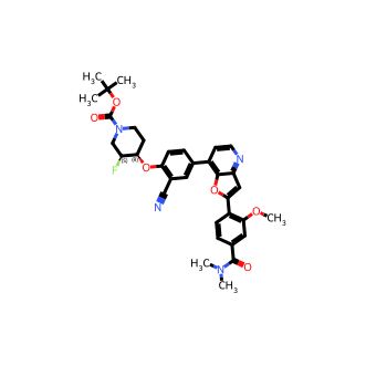 COc1cc(C(=O)N(C)C)ccc1-c1cc2nccc(-c3ccc(O[C@@H]4CCN(C(=O)OC(C)(C)C)C[C@@H]4F)c(C#N)c3)c2o1